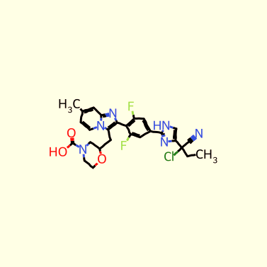 CCC(Cl)(C#N)c1c[nH]c(-c2cc(F)c(-c3nc4cc(C)ccn4c3CC3CN(C(=O)O)CCO3)c(F)c2)n1